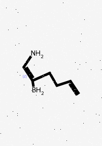 B/C(=C/N)CCC=C